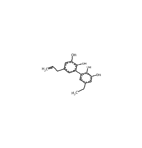 C=CCc1cc(O)c(O)c(-c2cc(CC)cc(O)c2O)c1